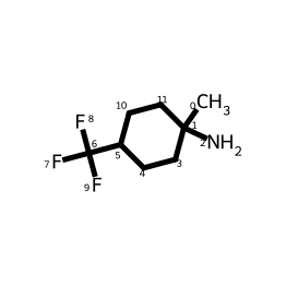 CC1(N)CCC(C(F)(F)F)CC1